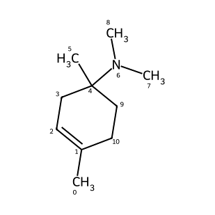 CC1=CCC(C)(N(C)C)CC1